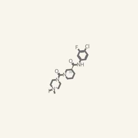 C[N+]1(I)CCN(C(=O)N2CCC[C@H](C(=O)Nc3ccc(Cl)c(F)c3)C2)CC1